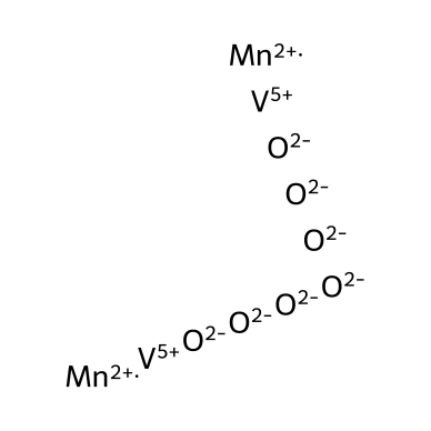 [Mn+2].[Mn+2].[O-2].[O-2].[O-2].[O-2].[O-2].[O-2].[O-2].[V+5].[V+5]